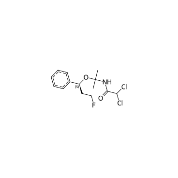 CC(C)(NC(=O)C(Cl)Cl)O[C@@H](CCF)c1ccccc1